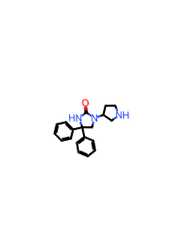 O=C1NC(c2ccccc2)(c2ccccc2)CN1C1CCNC1